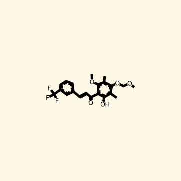 COCOc1c(C)c(O)c(C(=O)C=Cc2cccc(C(F)(F)F)c2)c(OC)c1C